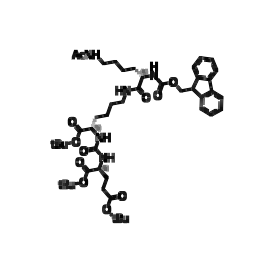 CC(=O)NCCCC[C@H](NC(=O)OCC1c2ccccc2-c2ccccc21)C(=O)NCCCC[C@H](NC(=O)N[C@@H](CCC(=O)OC(C)(C)C)C(=O)OC(C)(C)C)C(=O)OC(C)(C)C